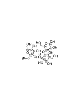 CC(C)S[C@@H]1O[C@H](CO)[C@H](O)[C@H](O)[C@H]1O.OC[C@H]1O[C@@H](O[C@H]2[C@H](O)[C@@H](O)[C@H](O)O[C@@H]2CO)[C@H](O)[C@@H](O)[C@H]1O